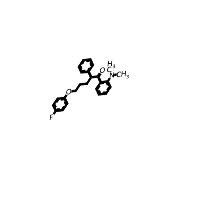 CN(C)c1ccccc1C(=O)C(CCCOc1ccc(F)cc1)c1ccccc1